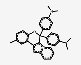 Cc1ccc2c(c1)-c1nc3ccccn3c1C(c1ccc(N(C)C)cc1)(c1ccc(N(C)C)cc1)O2